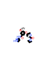 CCCOc1cc(Oc2ccc(C(=O)N3CCC3)nc2)cc(C(=O)Nc2cc[nH]n2)c1